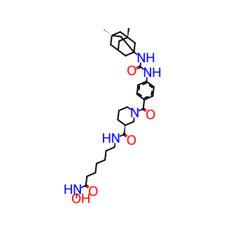 C[C@]12CC3CC(NC(=O)Nc4ccc(C(=O)N5CCC[C@H](C(=O)NCCCCCCC(=O)NO)C5)cc4)(C1)C[C@@](C)(C3)C2